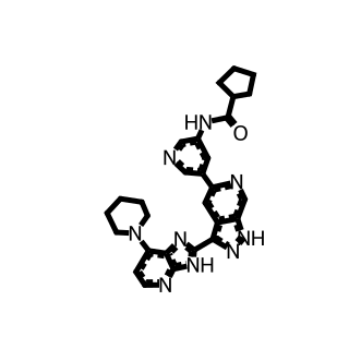 O=C(Nc1cncc(-c2cc3c(-c4nc5c(N6CCCCC6)ccnc5[nH]4)n[nH]c3cn2)c1)C1CCCC1